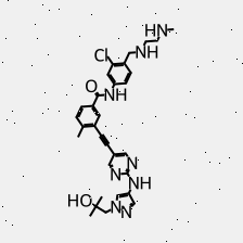 CNCCNCc1ccc(NC(=O)c2ccc(C)c(C#Cc3cnc(Nc4cnn(CC(C)(C)O)c4)nc3)c2)cc1Cl